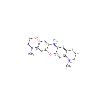 CN1CCOc2cc3c(cc21)Oc1cc2c(cc1=N3)CCC[N+]=2C.[Cl-]